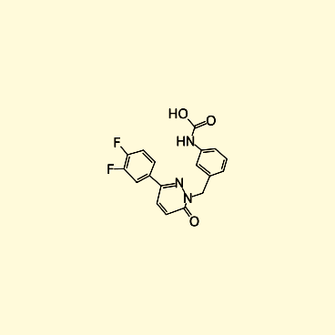 O=C(O)Nc1cccc(Cn2nc(-c3ccc(F)c(F)c3)ccc2=O)c1